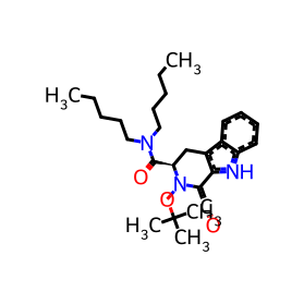 CCCCCN(CCCCC)C(=O)[C@H]1Cc2c([nH]c3ccccc23)C(=C=O)N1OC(C)(C)C